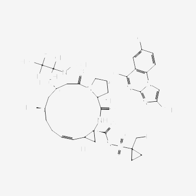 Cc1cn2c(n1)nc(O[C@@H]1C[C@H]3C(=O)N[C@]4(C(=O)NS(=O)(=O)C5(CF)CC5)C[C@H]4C=CCC[C@@H](C)C[C@@H](C)[C@H](N(C(=O)O)C(C)(C)C(C)(F)F)C(=O)N3C1)c1cc(Cl)ccc12